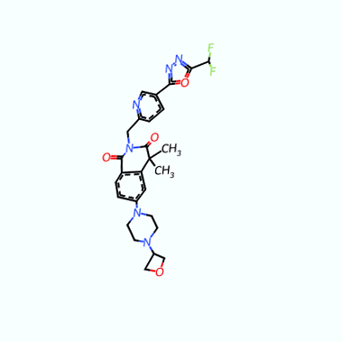 CC1(C)C(=O)N(Cc2ccc(-c3nnc(C(F)F)o3)cn2)C(=O)c2ccc(N3CCN(C4COC4)CC3)cc21